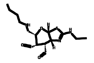 CCCCNC[C@@H]1O[C@@H]2SC(NCC)=N[C@@H]2[C@H](C=O)[C@@H]1C=O